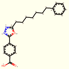 O=C(O)c1ccc(-c2nnc(CCCCCCCc3ccccc3)o2)cc1